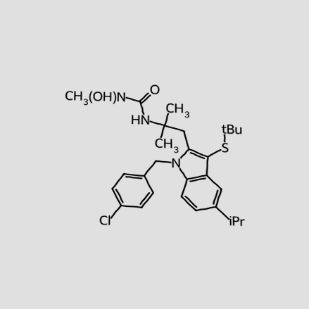 CC(C)c1ccc2c(c1)c(SC(C)(C)C)c(CC(C)(C)NC(=O)N(C)O)n2Cc1ccc(Cl)cc1